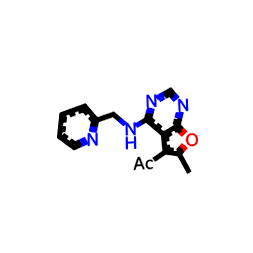 CC(=O)c1c(C)oc2ncnc(NCc3ccccn3)c12